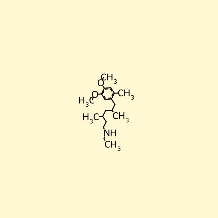 CCNCCC(C)CC(C)Cc1cc(OC)c(OC)cc1C